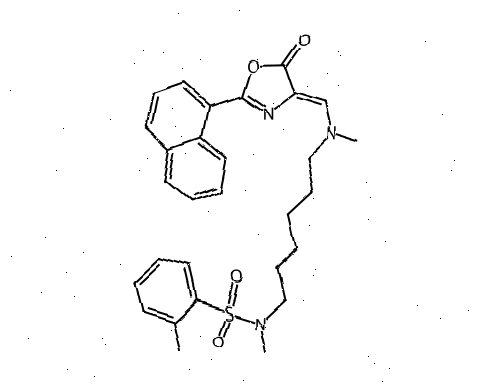 Cc1ccccc1S(=O)(=O)N(C)CCCCCCN(C)C=C1N=C(c2cccc3ccccc23)OC1=O